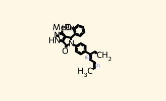 C=C/C(=C\C=C/C)c1ccc(N2C(=O)c3[nH]nc(C(C)(C)C)c3C2c2ccccc2OC)cc1